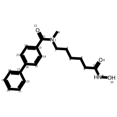 CN(CCCCCC(=O)NO)C(=O)c1ccc(-c2ccccc2)cc1